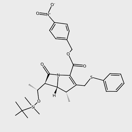 C[C@@H](O[Si](C)(C)C(C)(C)C)[C@H]1C(=O)N2C(C(=O)OCc3ccc([N+](=O)[O-])cc3)=C(CSc3ccccc3)[C@H](C)[C@H]12